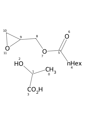 CC(O)C(=O)O.CCCCCCC(=O)OCC1CO1